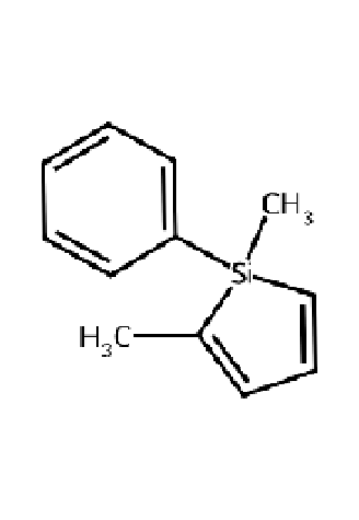 CC1=CC=C[Si]1(C)c1ccccc1